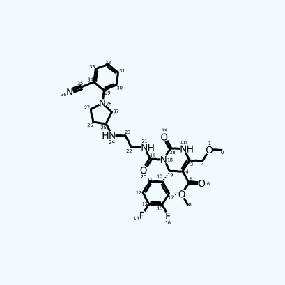 COCC1=C(C(=O)OC)[C@H](c2ccc(F)c(F)c2)N(C(=O)NCCNC2CCN(c3ccccc3C#N)C2)C(=O)N1